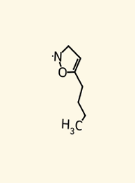 CCCCC1=CC[N]O1